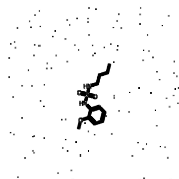 CCCCNS(=O)(=O)Nc1ccccc1OC